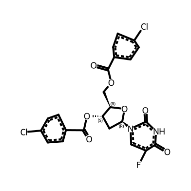 O=C(OC[C@H]1O[C@@H](n2cc(F)c(=O)[nH]c2=O)C[C@@H]1OC(=O)c1ccc(Cl)cc1)c1ccc(Cl)cc1